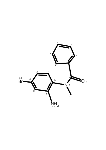 CN(C(=O)c1ccccc1)c1ccc(Br)cc1N